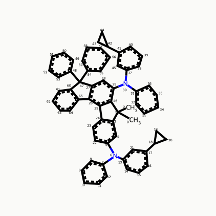 CC1(C)c2cc(N(c3ccccc3)c3cccc(C4CC4)c3)ccc2-c2c3c(cc(N(c4ccccc4)c4cccc(C5CC5)c4)c21)C(c1ccccc1)(c1ccccc1)c1ccccc1-3